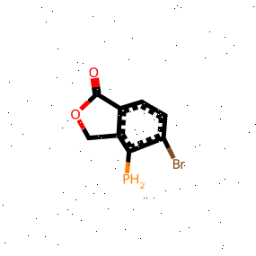 O=C1OCc2c1ccc(Br)c2P